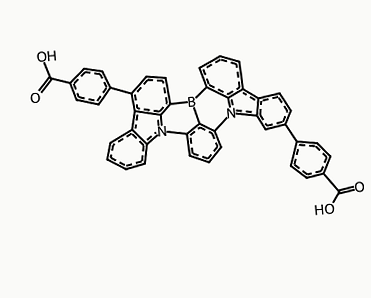 O=C(O)c1ccc(-c2ccc3c4cccc5c4n(c3c2)-c2cccc3c2B5c2ccc(-c4ccc(C(=O)O)cc4)c4c5ccccc5n-3c24)cc1